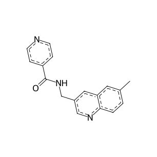 Cc1ccc2ncc(CNC(=O)c3ccncc3)cc2c1